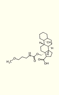 COCCCNC(=O)OC[C@]12CC[C@H]3[C@@H](CCC4CCCC[C@@]43C)[C@@H]1CCC2C(=O)O